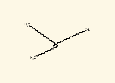 CCCCCCCCCCCCCCCCCCCc1cc[n+](CCCCCCCCCCCCC)cc1CCCCCCCCCCCCCCCCCCC